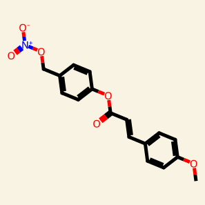 COc1ccc(/C=C/C(=O)Oc2ccc(CO[N+](=O)[O-])cc2)cc1